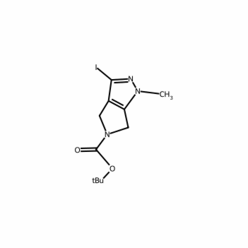 Cn1nc(I)c2c1CN(C(=O)OC(C)(C)C)C2